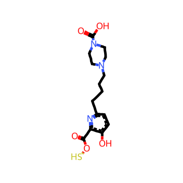 O=C(OS)c1nc(CCCCN2CCN(C(=O)O)CC2)ccc1O